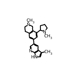 Cc1c[nH]c2ncc(-c3cc4c(c(C5CCCN5C)c3)CN(C)CC4)cc12